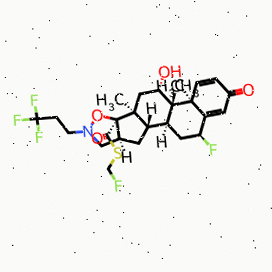 C[C@]12[C@@H](O)C[C@@]3(C)[C@@H](C[C@H]4CN(CCC(F)(F)F)O[C@]43C(=O)SCF)[C@@H]1C[C@H](F)C1=CC(=O)C=C[C@@]12C